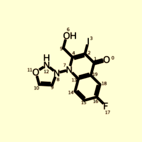 O=c1c(I)c(CO)n(N2C=CON2)c2ccc(F)cc12